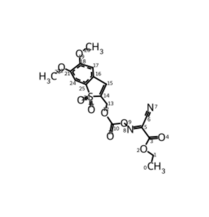 CCOC(=O)/C(C#N)=N/OC(=O)OCC1=Cc2cc(OC)c(OC)cc2S1(=O)=O